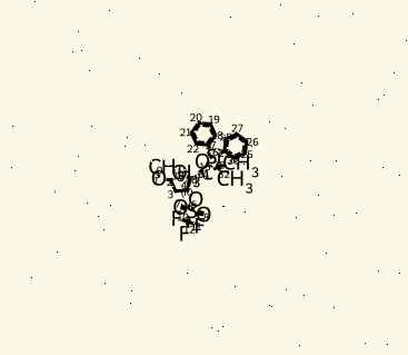 COC1C[C@@H](OS(=O)(=O)C(F)(F)F)[C@@H](CO[Si](c2ccccc2)(c2ccccc2)C(C)(C)C)O1